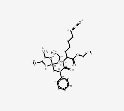 CCOC(=O)C(CCCCN=C=O)NC(=O)N(C[Si](OCC)(OCC)OCC)c1ccccc1